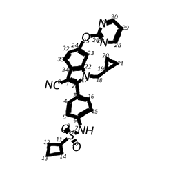 N#Cc1c(-c2ccc(NS(=O)(=O)C3CCC3)cc2)n(CC2CC2)c2cc(Oc3ncccn3)ccc12